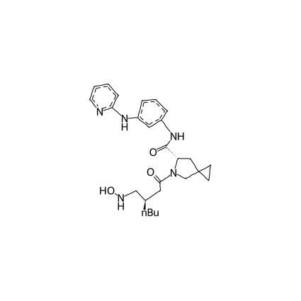 CCCC[C@@H](CNO)CC(=O)N1CC2(CC2)C[C@H]1C(=O)Nc1cccc(Nc2ccccn2)c1